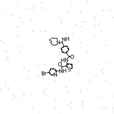 N=C(c1ccc(C(=O)Nc2ccsc2C(=O)Nc2ccc(Br)cn2)cc1)N1CCSCC1